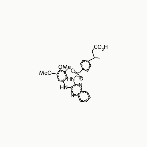 COc1cc(Nc2nc3ccccc3nc2NS(=O)(=O)c2ccc(C(C)CC(=O)O)cc2)cc(OC)c1